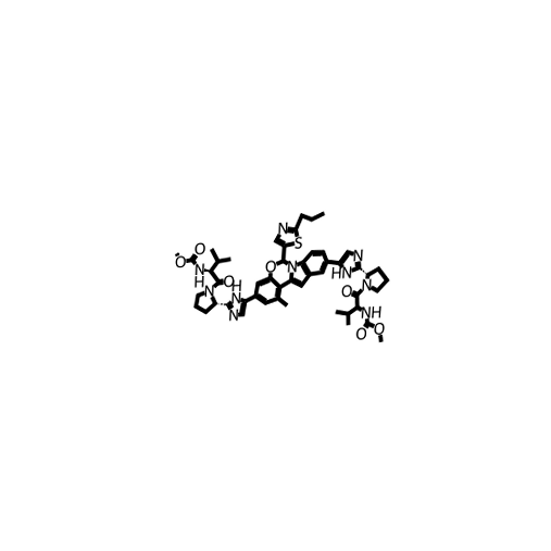 CCCc1ncc(C2Oc3cc(-c4cnc([C@@H]5CCCN5C(=O)[C@@H](NC(=O)OC)C(C)C)[nH]4)cc(C)c3-c3cc4cc(-c5cnc([C@@H]6CCCN6C(=O)C(NC(=O)OC)C(C)C)[nH]5)ccc4n32)s1